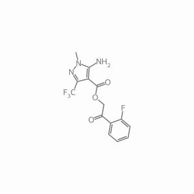 Cn1nc(C(F)(F)F)c(C(=O)OCC(=O)c2ccccc2F)c1N